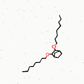 CCCCCCCCO[C]1C2CCC(C2)C1OCCCCCCCC